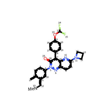 C=c1ccc(-n2nc3ccc(N4CCC4)nc3c(-c3ccc(OC(F)F)cc3)c2=O)c/c1=C/NC